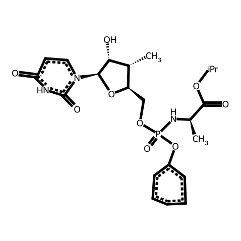 CC(C)OC(=O)[C@@H](C)NP(=O)(OC[C@H]1O[C@@H](n2ccc(=O)[nH]c2=O)[C@H](O)[C@@H]1C)Oc1ccccc1